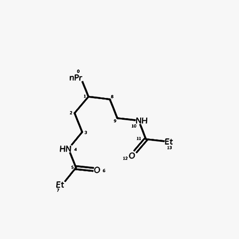 CCCC(CCNC(=O)CC)CCNC(=O)CC